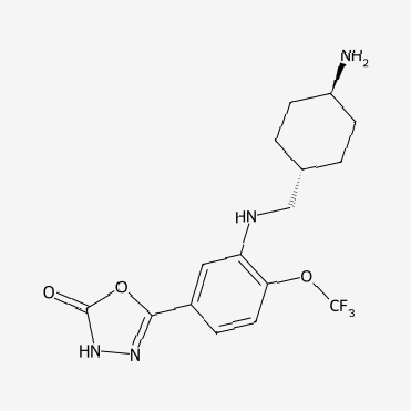 N[C@H]1CC[C@H](CNc2cc(-c3n[nH]c(=O)o3)ccc2OC(F)(F)F)CC1